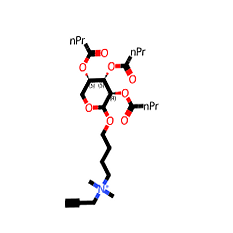 C#CC[N+](C)(C)CCCCOC1OC[C@H](OC(=O)CCC)[C@H](OC(=O)CCC)[C@H]1OC(=O)CCC